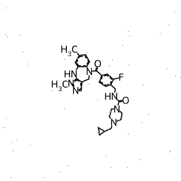 Cc1ccc2c(c1)Nc1c(cnn1C)CN2C(=O)c1ccc(CNC(=O)N2CCN(CC3CC3)CC2)c(F)c1